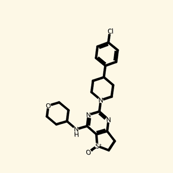 [O-][S+]1CCc2nc(N3CCC(c4ccc(Cl)cc4)CC3)nc(NC3CCOCC3)c21